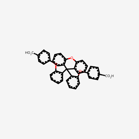 O=C(O)c1ccc(Oc2ccccc2C2(c3ccccc3Oc3ccc(C(=O)O)cc3)c3ccccc3Oc3ccccc32)cc1